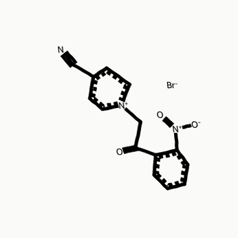 N#Cc1cc[n+](CC(=O)c2ccccc2[N+](=O)[O-])cc1.[Br-]